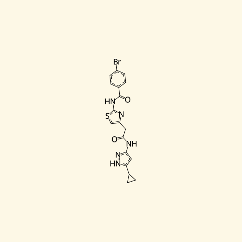 O=C(Cc1csc(NC(=O)c2ccc(Br)cc2)n1)Nc1cc(C2CC2)[nH]n1